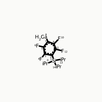 CC(C)[Si](c1c(F)c(F)[c]([GaH2])c(F)c1F)(C(C)C)C(C)C